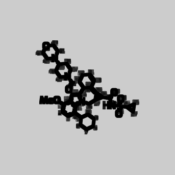 COc1ccc(C2CCCCC2)c2c1cc1n2CC2=C(C(=O)NS(=O)(=O)C3CC3)C2=C2C=CC[C@@H](C(=O)N3CCC(N4CCOCC4)CC3)C21